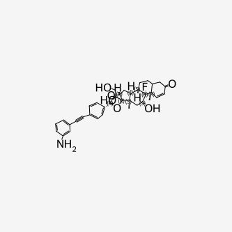 C[C@]12C=CC(=O)CC1CC[C@H]1[C@@H]3C[C@H]4O[C@@H](c5ccc(C#Cc6cccc(N)c6)cc5)O[C@@]4(C(O)CO)[C@@]3(C)C[C@H](O)[C@@]12F